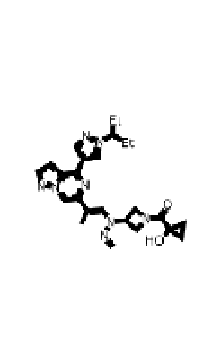 C=NN(/C=C(\C)c1cn2nccc2c(-c2cnn(C(CC)CC)c2)n1)C1CN(C(=O)C2(O)CC2)C1